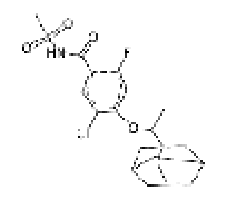 CC(Oc1cc(F)c(C(=O)NS(C)(=O)=O)cc1Cl)C12CC3CC(CC(C3)C1)C2